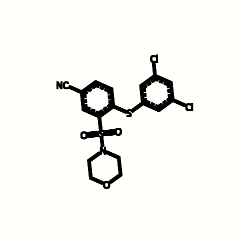 N#Cc1ccc(Sc2cc(Cl)cc(Cl)c2)c(S(=O)(=O)N2CCOCC2)c1